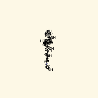 CC(C)(COP(=O)(O)OP(=O)(O)OC[C@H]1O[C@@H](n2cnc3c(N)ncnc32)[C@H](O)[C@@H]1OP(=O)(O)O)C(O)C(=O)NCCC(=O)NCCSOC(=O)/C=C/c1ccc(O)cc1